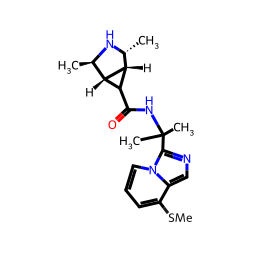 CSc1cccn2c(C(C)(C)NC(=O)C3[C@@H]4[C@H]3[C@@H](C)N[C@@H]4C)ncc12